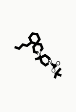 CCCCC1CCCCC12CCN(C1(C)CCN(C(=O)OC(C)(C)C)CC1)CC2